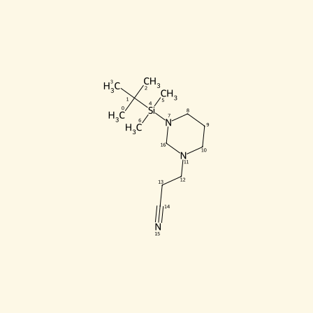 CC(C)(C)[Si](C)(C)N1CCCN(CCC#N)C1